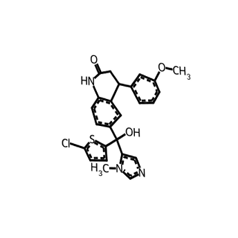 COc1cccc(C2CC(=O)Nc3ccc(C(O)(c4ccc(Cl)s4)c4cncn4C)cc32)c1